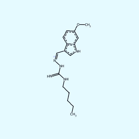 CCCCCNC(=N)N/N=C\c1c[nH]c2cc(OC)ccc12